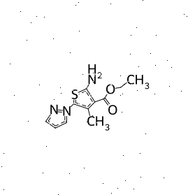 CCOC(=O)c1c(N)sc(-n2cccn2)c1C